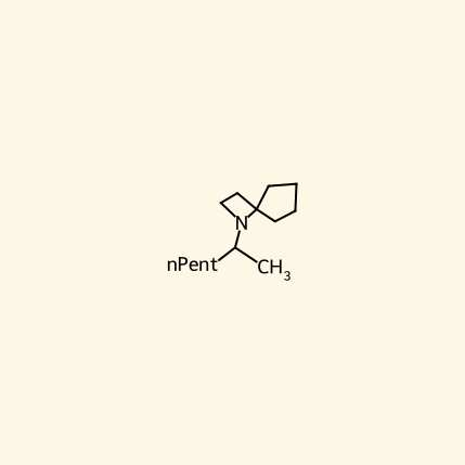 CCCCCC(C)N1CCC12CCCC2